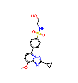 COc1ccc(-c2ccc(S(=O)(=O)NCCO)cc2)n2nc(C3CC3)nc12